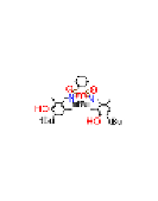 CCCCN(Cc1c(C)cc(C(C)(C)C)c(O)c1C)S(=O)(=O)c1ccccc1S(=O)(=O)N(CCCC)Cc1c(C)cc(C(C)(C)C)c(O)c1C